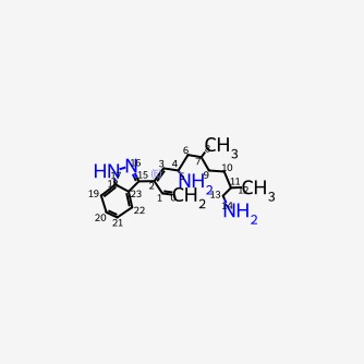 C=C/C(=C\C(N)CC(C)CCC(C)CN)c1n[nH]c2ccccc12